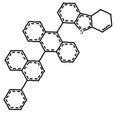 C1=Cc2sc3c(-c4c5ccccc5c(-c5ccc(-c6ccccc6)c6ccccc56)c5ccccc45)cccc3c2CC1